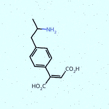 CC(N)Cc1ccc(/C(=C\C(=O)O)C(=O)O)cc1